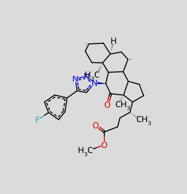 COC(=O)CC[C@@H](C)C1CCC2C3[CH]C[C@@H]4C[CH]CC[C@]4(C)C3[C@H](n3cc(-c4ccc(F)cc4)nn3)C(=O)[C@@]21C